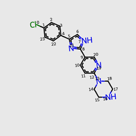 Clc1ccc(-c2c[nH]c(-c3ccc(N4CCNCC4)nc3)n2)cc1